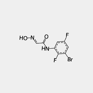 O=C(C=NO)Nc1cc(F)cc(Br)c1F